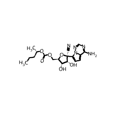 CCC[C@H](C)OC(=O)OC[C@H]1O[C@@](C#N)(c2ccc3c(N)ncnn23)[C@H](O)[C@@H]1O